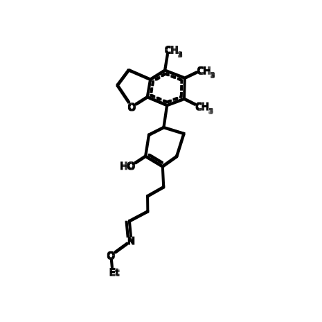 CCON=CCCCC1=C(O)CC(c2c(C)c(C)c(C)c3c2OCC3)CC1